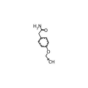 C#CCOc1ccc(CC(N)=O)cc1